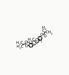 C=C(C)C(=O)Oc1ccc(CN(Cc2ccc(OC(=O)C(=C)C)cc2)C(C)(C)C)cc1